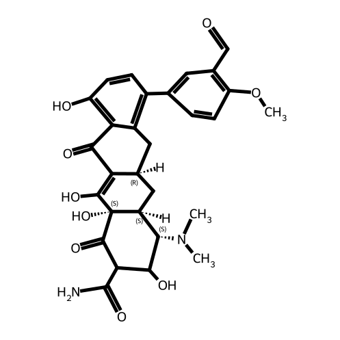 COc1ccc(-c2ccc(O)c3c2C[C@H]2C[C@H]4[C@H](N(C)C)C(O)C(C(N)=O)C(=O)[C@@]4(O)C(O)=C2C3=O)cc1C=O